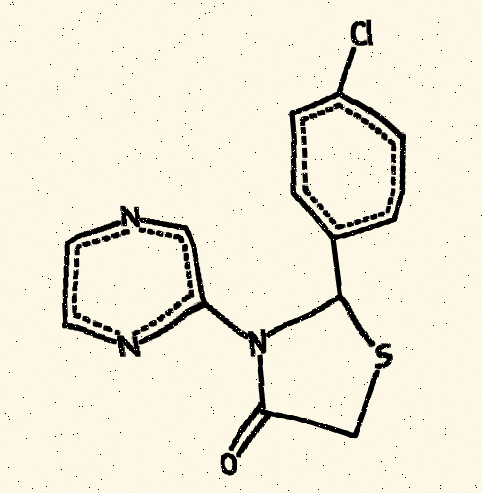 O=C1CSC(c2ccc(Cl)cc2)N1c1cnccn1